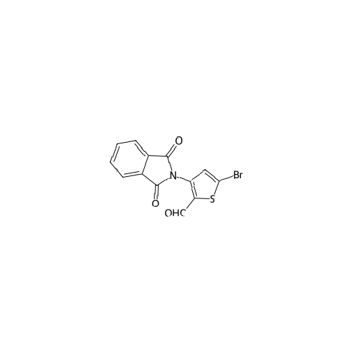 O=Cc1sc(Br)cc1N1C(=O)c2ccccc2C1=O